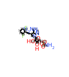 Nc1ncnc2c1c(C#Cc1c(F)cccc1F)cn2[C@@H]1O[C@H](COS(N)(=O)=O)[C@@H](O)[C@H]1O